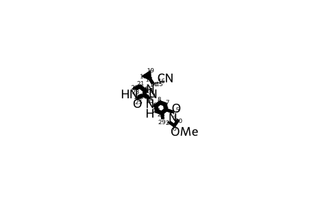 COC1CN(C(=O)c2ccc(Nc3nn([C@@H](CC#N)C4CC4)c4cc[nH]c(=O)c34)cc2C)C1